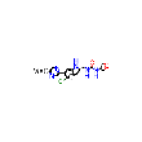 COc1cnc(-c2cc3[nH]c(CNC(=O)NC4COC4)cc3cc2Cl)cn1